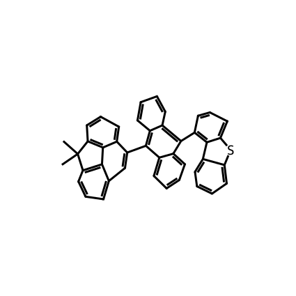 CC1(C)c2cccc3cc(-c4c5ccccc5c(-c5cccc6sc7ccccc7c56)c5ccccc45)c4cccc1c4c23